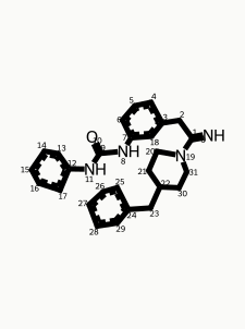 N=C(Cc1cccc(NC(=O)Nc2ccccc2)c1)N1CCC(Cc2ccccc2)CC1